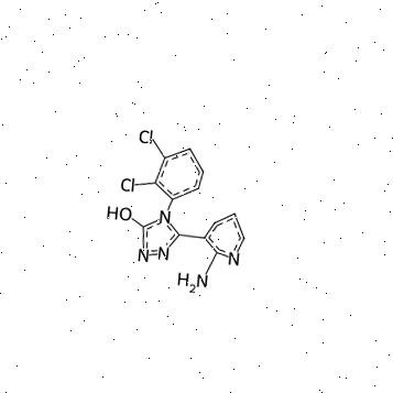 Nc1ncccc1-c1nnc(O)n1-c1cccc(Cl)c1Cl